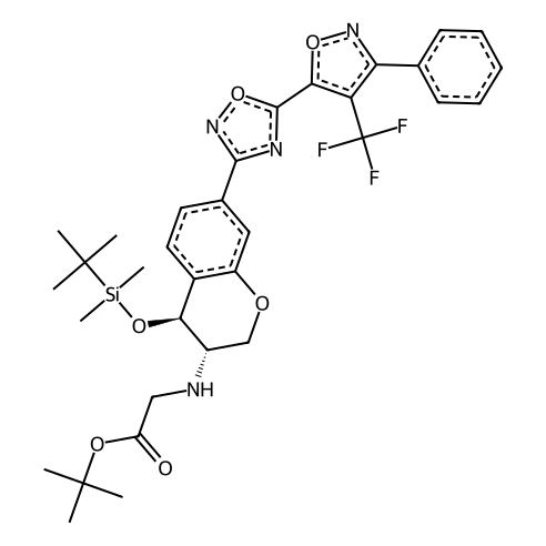 CC(C)(C)OC(=O)CN[C@H]1COc2cc(-c3noc(-c4onc(-c5ccccc5)c4C(F)(F)F)n3)ccc2[C@@H]1O[Si](C)(C)C(C)(C)C